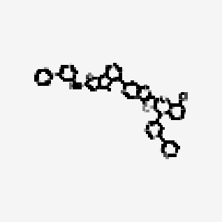 Clc1cccc(C(c2cccc(-c3ccccc3)c2)c2cc3sc4cc(-c5cccc6c5sc5cc(Nc7cccc(-c8ccccc8)c7)oc56)ccc4c3o2)c1Cl